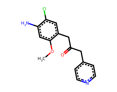 COc1cc(N)c(Cl)cc1CC(=O)Cc1ccncc1